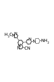 Cn1cc(-c2cc(-c3ccc(N4CCC(N)CC4)nc3)c3c(C#N)cnn3c2)cn1